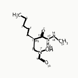 CCCCC[C@H](CN(O)C=O)C(=O)NNC